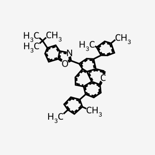 Cc1ccc(-c2ccc3ccc4c(-c5ccc(C)cc5C)cc(-c5nc6cc(C(C)(C)C)ccc6o5)c5ccc2c3c54)c(C)c1